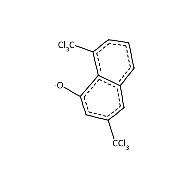 [O]c1cc(C(Cl)(Cl)Cl)cc2cccc(C(Cl)(Cl)Cl)c12